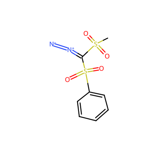 CS(=O)(=O)C(=[N+]=[N-])S(=O)(=O)c1ccccc1